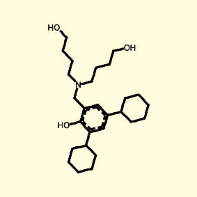 OCCCCN(CCCCO)Cc1cc(C2CCCCC2)cc(C2CCCCC2)c1O